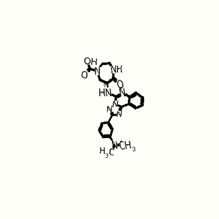 CN(C)c1cccc(-c2nc3c4ccccc4nc(N[C@@H]4CN(C(=O)O)CCNC4=O)n3n2)c1